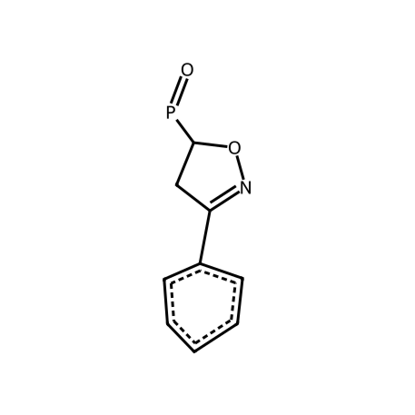 O=PC1CC(c2ccccc2)=NO1